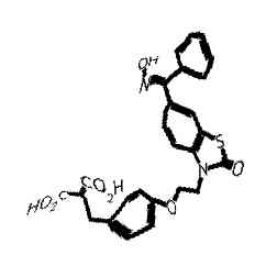 O=C(O)C(Cc1ccc(OCCn2c(=O)sc3cc(/C(=N/O)c4ccccc4)ccc32)cc1)C(=O)O